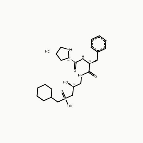 Cl.O=C(N[C@@H](Cc1ccccc1)C(=O)NC[C@H](O)CP(=O)(O)CC1CCCCC1)[C@@H]1CCCN1